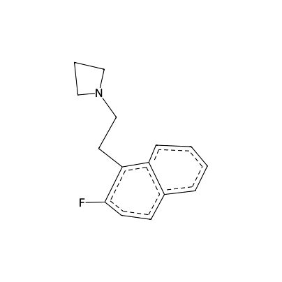 Fc1ccc2ccccc2c1CCN1CCC1